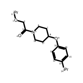 CC(C)OCC(=O)N1CCC(Oc2ccc(C(C)C)cc2)CC1